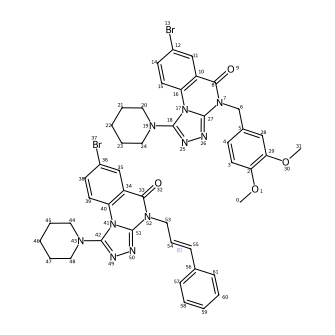 COc1ccc(Cn2c(=O)c3cc(Br)ccc3n3c(N4CCCCC4)nnc23)cc1OC.O=c1c2cc(Br)ccc2n2c(N3CCCCC3)nnc2n1C/C=C/c1ccccc1